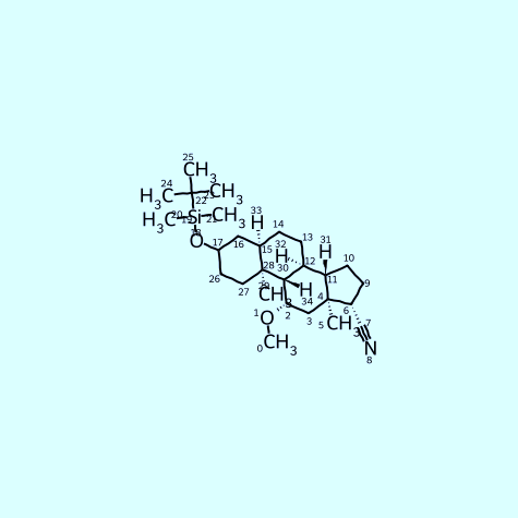 CO[C@H]1C[C@]2(C)[C@@H](C#N)CC[C@H]2[C@@H]2CC[C@@H]3CC(O[Si](C)(C)C(C)(C)C)CC[C@]3(C)[C@H]21